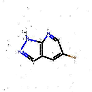 [2H]n1ncc2cc(Br)cnc21